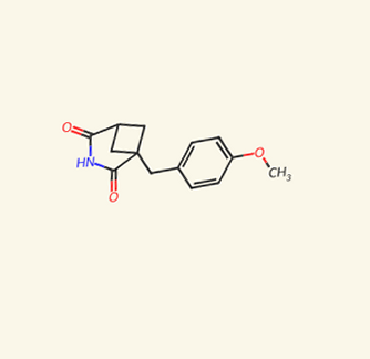 COc1ccc(CC23CC(C2)C(=O)NC3=O)cc1